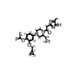 Cc1nc(CC(=O)N2CCN(c3ccc(OC(F)F)c(OCC4CC4)c3)CC2CC(C)C)n[nH]1